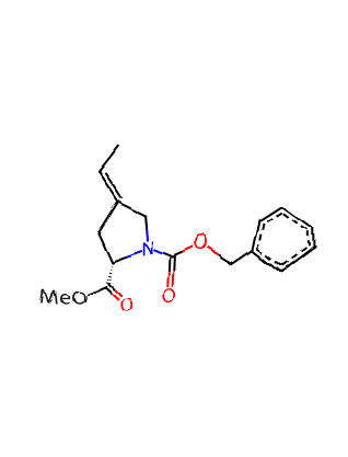 CC=C1C[C@@H](C(=O)OC)N(C(=O)OCc2ccccc2)C1